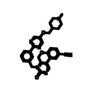 CN1CCC(COc2cnc(-c3cccc(Cn4c5c(cnc4=O)-c4cc(C#N)ccc4OC5)c3)nc2)CC1